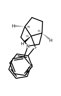 c1ccc(S[C@@H]2[C@@H]3CC[C@H]2CN(c2ccccn2)C3)cc1